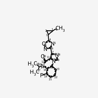 CC1CC1c1nc(-c2ncn3c2c(=O)n(C(C)C)c2c(F)cccc23)no1